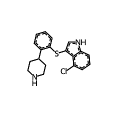 Clc1cccc2[nH]cc(Sc3ccccc3C3CCNCC3)c12